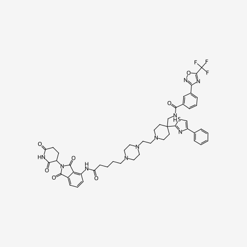 O=C1CCC(N2C(=O)c3cccc(NC(=O)CCCCN4CCN(CCN5CCC(CNC(=O)c6cccc(-c7noc(C(F)(F)F)n7)c6)(c6nc(-c7ccccc7)cs6)CC5)CC4)c3C2=O)C(=O)N1